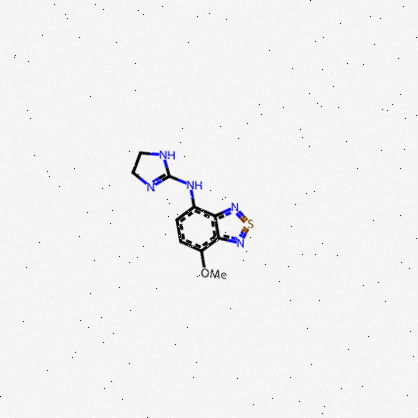 COc1ccc(NC2=NCCN2)c2nsnc12